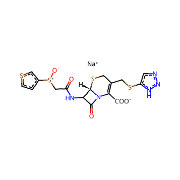 O=C(C[S+]([O-])c1ccsc1)NC1C(=O)N2C(C(=O)[O-])=C(CSc3cnn[nH]3)CS[C@@H]12.[Na+]